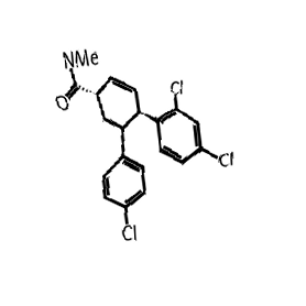 CNC(=O)[C@@H]1C=C[C@@H](c2ccc(Cl)cc2Cl)C(c2ccc(Cl)cc2)C1